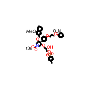 COc1cc(CO[C@H]2CN(C(=O)OC(C)(C)C)C[C@@H](OC[C@H](O)COS(=O)(=O)c3ccc(C)cc3)[C@@H]2c2ccc(OCCCOc3ccccc3[N+](=O)[O-])cc2)cc2ccccc12